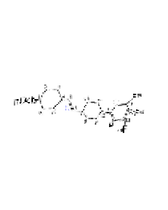 CCCCCCCC[C@H]1CC[C@H](/C=C/[C@H]2CC[C@H](c3cc(F)c(F)c(F)c3)CC2)CC1